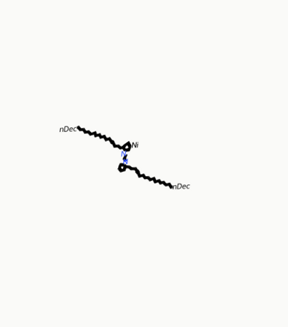 CCCCCCCCCCCCCCCCCCCCCCCC#CCCCc1ccccc1N=CC=Nc1ccccc1CCCC#CCCCCCCCCCCCCCCCCCCCCCCC.[Ni]